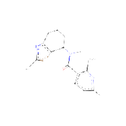 CCc1nc2c(s1)C(N(C)C(=O)c1ccc(C)nc1OC)CCC2